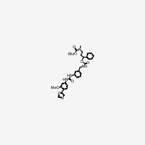 COc1cc(NC(=O)Nc2cccc(CNC(=O)OC(CCN(C)C(=O)OC(C)(C)C)c3ccccc3)c2)ccc1-c1cnco1